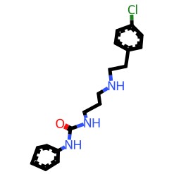 O=C(NCCCNCCc1ccc(Cl)cc1)Nc1ccccc1